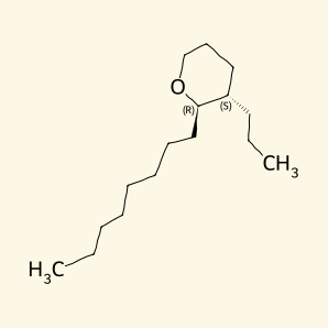 CCCCCCCC[C@H]1OCCC[C@@H]1CCC